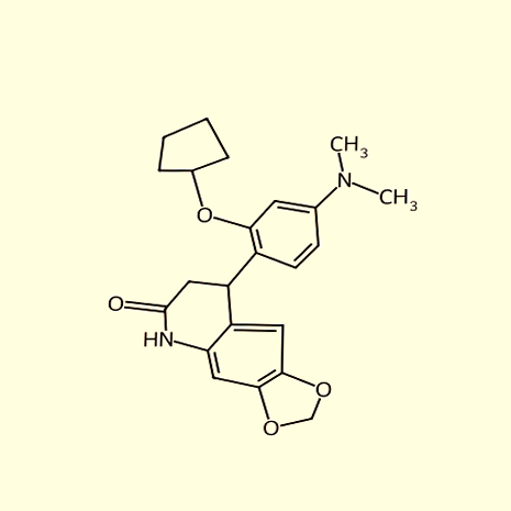 CN(C)c1ccc(C2CC(=O)Nc3cc4c(cc32)OCO4)c(OC2CCCC2)c1